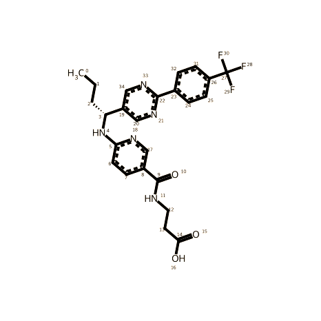 CCC[C@@H](Nc1ccc(C(=O)NCCC(=O)O)cn1)c1cnc(-c2ccc(C(F)(F)F)cc2)nc1